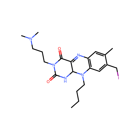 CCCCN1c2cc(CI)c(C)cc2N=C2C(=O)N(CCCN(C)C)C(=O)NC21